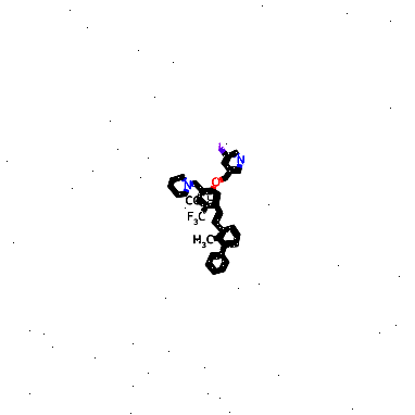 Cc1c(/C=C/c2cc(OCc3cncc(I)c3)c(CN3CCCC[C@H]3C(=O)O)cc2C(F)(F)F)cccc1-c1ccccc1